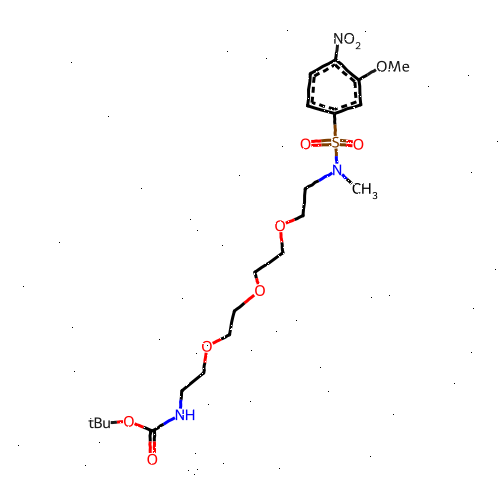 COc1cc(S(=O)(=O)N(C)CCOCCOCCOCCNC(=O)OC(C)(C)C)ccc1[N+](=O)[O-]